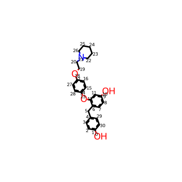 Oc1ccc(Cc2ccc(O)cc2Oc2ccc(OCCN3CCCCC3)cc2)cc1